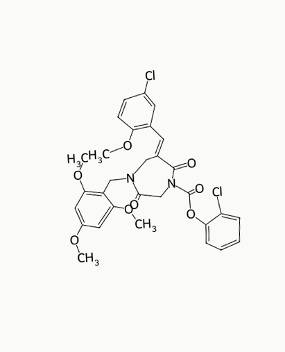 COc1cc(OC)c(CN2C/C(=C\c3cc(Cl)ccc3OC)C(=O)N(C(=O)Oc3ccccc3Cl)CC2=O)c(OC)c1